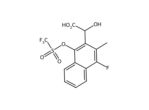 Cc1c(C(O)C(=O)O)c(OS(=O)(=O)C(F)(F)F)c2ccccc2c1F